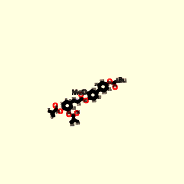 C=C(C)C(=O)Oc1ccc(/C=C/C(=O)Oc2ccc(-c3ccc(OC(=O)C(C)(C)C)cc3)cc2OC)cc1OC(=O)C(=C)C